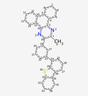 Cc1nc2c3ccccc3c3ccccc3c2nc1-c1cccc(-c2cccc3c2sc2ccccc23)c1